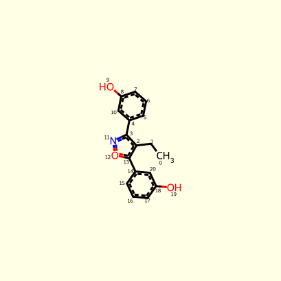 CCc1c(-c2cccc(O)c2)noc1-c1cccc(O)c1